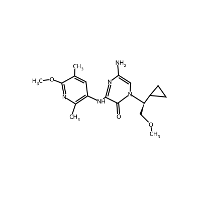 COC[C@H](C1CC1)n1cc(N)nc(Nc2cc(C)c(OC)nc2C)c1=O